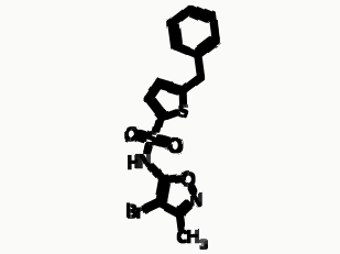 Cc1noc(NS(=O)(=O)c2ccc(Cc3ccccc3)s2)c1Br